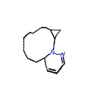 C1=CC2CCCCCCC3CC3N2N=C1